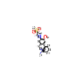 COc1cc2c(cc1N1CC(S(C)(=O)=O)C1)CC1C3CCCCC23CCN1C